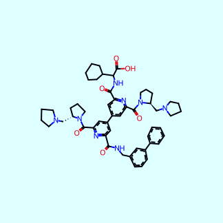 O=C(NCc1cccc(-c2ccccc2)c1)c1cc(-c2cc(C(=O)NC(C(=O)O)C3CCCCC3)nc(C(=O)N3CCC[C@H]3CN3CCCC3)c2)cc(C(=O)N2CCC[C@H]2CN2CCCC2)n1